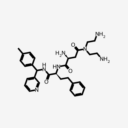 Cc1ccc(C(NC(=O)[C@H](CCc2ccccc2)NC(=O)[C@@H](N)CC(=O)N(CCN)CCN)c2cccnc2)cc1